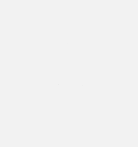 C[C](C)=[Zr][c]1c2c(cc(C(C)(C)C)c1C1=CC([Si](C)(C)C)=CC1)-c1cc(C(C)(C)C)ccc1C2